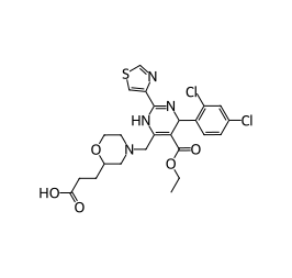 CCOC(=O)C1=C(CN2CCOC(CCC(=O)O)C2)NC(c2cscn2)=NC1c1ccc(Cl)cc1Cl